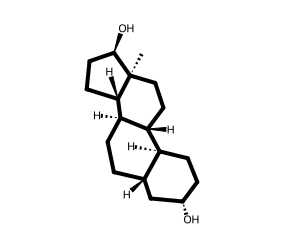 C[C@]12CC[C@H]3[C@@H](CC[C@H]4C[C@@H](O)CC[C@@H]43)[C@@H]1CC[C@H]2O